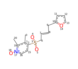 Cc1c(S(=O)(=O)CC=CCc2ccco2)cc[n+]([O-])c1C